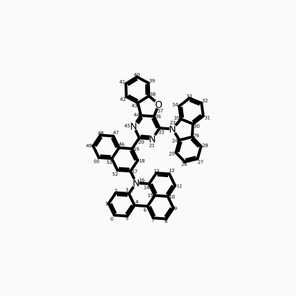 c1ccc2c(c1)-c1cccc3cccc(c13)N2c1cc(-c2nc(-n3c4ccccc4c4ccccc43)c3oc4ccccc4c3n2)c2ccccc2c1